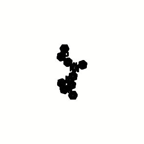 c1ccc(-c2nc(-c3ccc(-c4cccc5c4oc4ccccc45)cc3)nc(-c3ccc4c(c3)nc(-c3ccccc3)c3c4ccc4c3c3ccccc3n4-c3ccccc3)n2)cc1